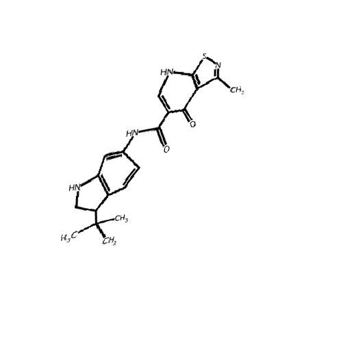 Cc1nsc2[nH]cc(C(=O)Nc3ccc4c(c3)NCC4C(C)(C)C)c(=O)c12